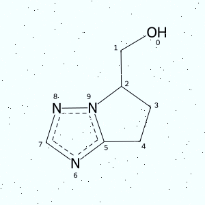 OCC1CCc2ncnn21